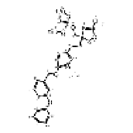 CC1=NC(CCc2ccc(OCc3cccc(Oc4ccccc4)c3)c(C(F)(F)F)c2)(COP(=O)(OC(C)(C)C)OC(C)(C)C)CO1